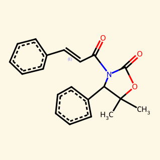 CC1(C)OC(=O)N(C(=O)/C=C/c2ccccc2)C1c1ccccc1